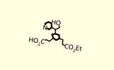 CCOC(=O)CCc1cc(CCC(=O)O)cc(C(CO)c2cccnc2)c1